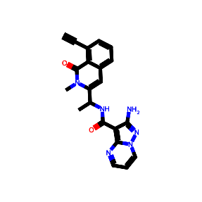 C#Cc1cccc2cc(C(C)NC(=O)c3c(N)nn4cccnc34)n(C)c(=O)c12